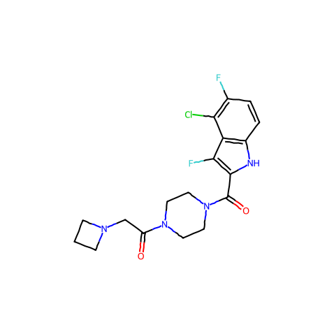 O=C(CN1CCC1)N1CCN(C(=O)c2[nH]c3ccc(F)c(Cl)c3c2F)CC1